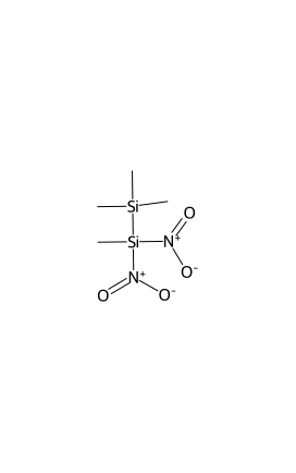 C[Si](C)(C)[Si](C)([N+](=O)[O-])[N+](=O)[O-]